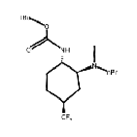 CCCN(C)[C@H]1C[C@@H](C(F)(F)F)CC[C@@H]1NC(=O)OC(C)(C)C